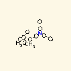 CC1(C)c2ccc(-c3ccc(N(c4ccc(-c5ccccc5)cc4)c4ccc(-c5ccccc5)cc4)cc3)cc2-c2c(-c3ccccc3)cc3ccccc3c21